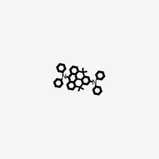 CC1(C)c2cc(N(c3ccccc3)c3ccccc3)cc3c2-c2c4c1cccc4c(N(c1ccccc1)c1ccccc1)c1cccc(c21)C3(C)C